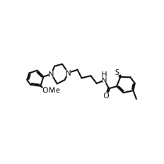 COc1ccccc1N1CCN(CCCCNC(=O)C2=CC(C)=CCC2=S)CC1